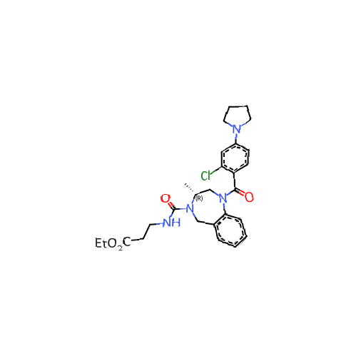 CCOC(=O)CCNC(=O)N1Cc2ccccc2N(C(=O)c2ccc(N3CCCC3)cc2Cl)C[C@H]1C